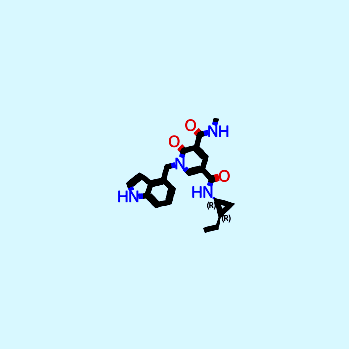 CC[C@@H]1C[C@H]1NC(=O)c1cc(C(=O)NC)c(=O)n(Cc2cccc3[nH]ccc23)c1